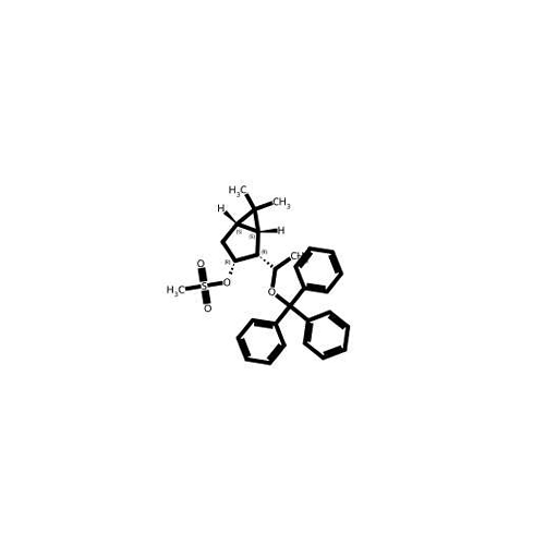 CC(OC(c1ccccc1)(c1ccccc1)c1ccccc1)[C@H]1[C@@H]2[C@H](C[C@H]1OS(C)(=O)=O)C2(C)C